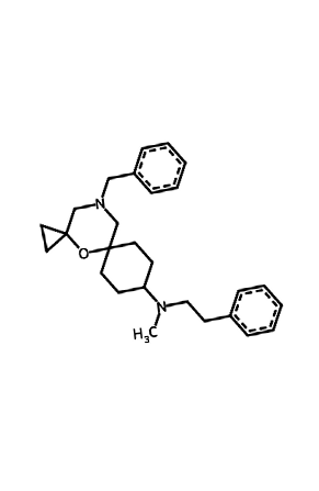 CN(CCc1ccccc1)C1CCC2(CC1)CN(Cc1ccccc1)CC1(CC1)O2